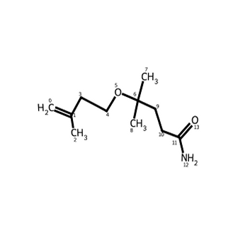 C=C(C)CCOC(C)(C)CCC(N)=O